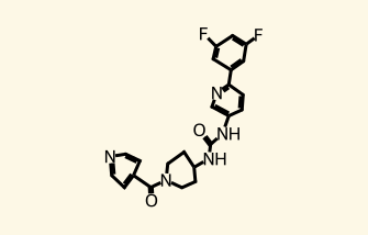 O=C(Nc1ccc(-c2cc(F)cc(F)c2)nc1)NC1CCN(C(=O)c2ccncc2)CC1